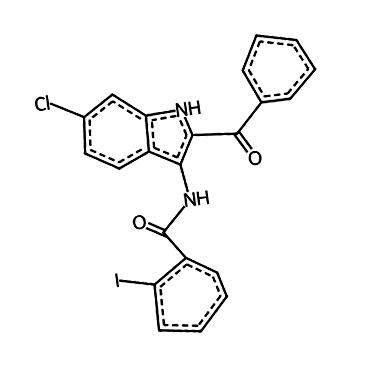 O=C(Nc1c(C(=O)c2ccccc2)[nH]c2cc(Cl)ccc12)c1ccccc1I